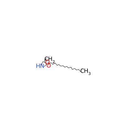 C=CC1(OC(=O)CCCCCCCCCCCCCCCCC)CCNCC1